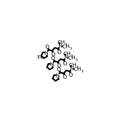 CN(C)C(=O)CC(=O)C(=O)N1CCCC1.CN(C)C(=O)CC(=O)C(=O)N1CCCC1.CN(C)C(=O)CC(=O)C(=O)N1CCCC1.[Fe]